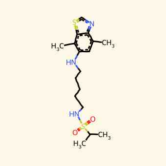 Cc1cc(NCCCCCNS(=O)(=O)C(C)C)c(C)c2scnc12